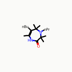 CCCCC1=C(C)NC(=O)C(C)(C)N(CCC)C1(C)C